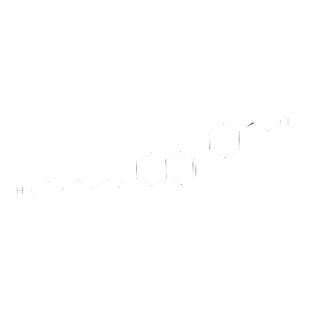 CCCCCCOc1ccc2cc([C@H]3CC[C@H](CCC)CC3)ccc2c1